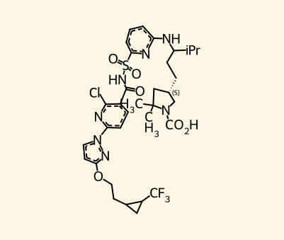 CC(C)C(CC[C@@H]1CN(C(=O)O)C(C)(C)C1)Nc1cccc(S(=O)(=O)NC(=O)c2ccc(-n3ccc(OCCC4CC4C(F)(F)F)n3)nc2Cl)n1